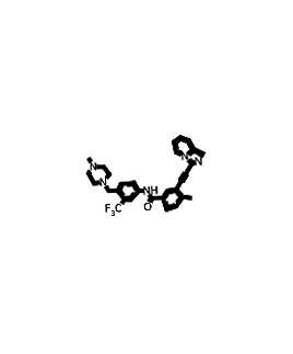 Cc1ccc(C(=O)Nc2ccc(CN3CCN(C)CC3)c(C(F)(F)F)c2)cc1C#Cc1ncc2ccccn12